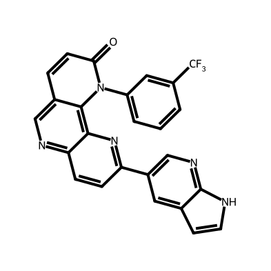 O=c1ccc2cnc3ccc(-c4cnc5[nH]ccc5c4)nc3c2n1-c1cccc(C(F)(F)F)c1